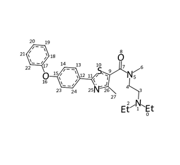 CCN(CC)CCN(C)C(=O)c1sc(-c2ccc(Oc3ccccc3)cc2)nc1C